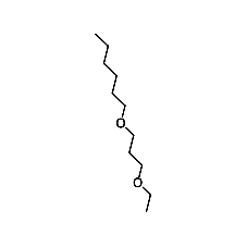 CCCCCCOCCCOCC